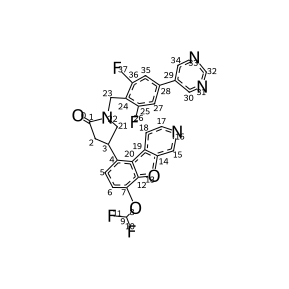 O=C1CC(c2ccc(OC(F)F)c3oc4cnccc4c23)CN1Cc1c(F)cc(-c2cncnc2)cc1F